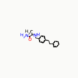 C[C@H](NCc1ccc(CCc2ccccc2)cc1)C(N)=O